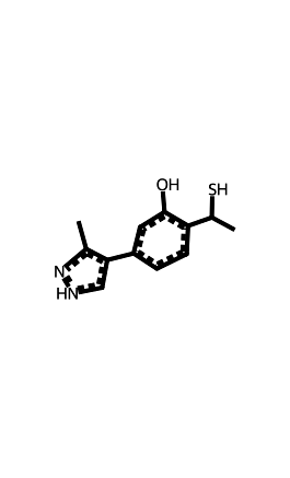 Cc1n[nH]cc1-c1ccc(C(C)S)c(O)c1